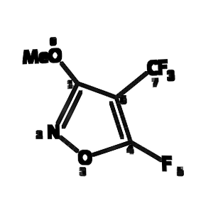 COc1noc(F)c1C(F)(F)F